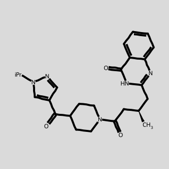 CC(C)n1cc(C(=O)C2CCN(C(=O)C[C@H](C)Cc3nc4ccccc4c(=O)[nH]3)CC2)cn1